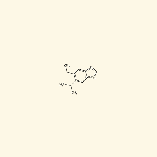 CCc1cc2ocnc2cc1C(C)C